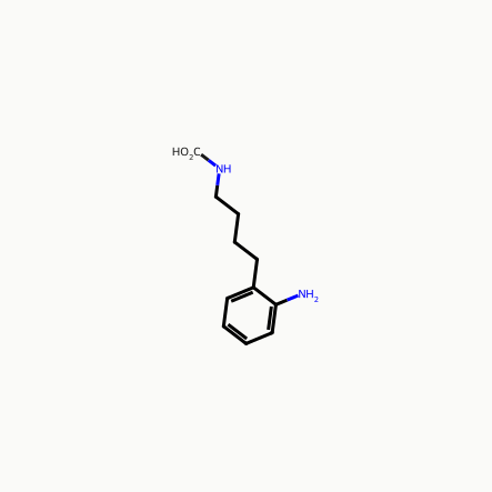 Nc1ccccc1CCCCNC(=O)O